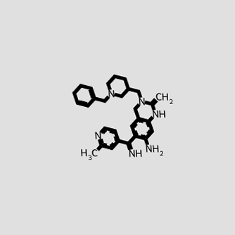 C=C1Nc2cc(N)c(C(=N)c3ccnc(C)c3)cc2CN1CC1CCCN(CC2=CCCC=C2)C1